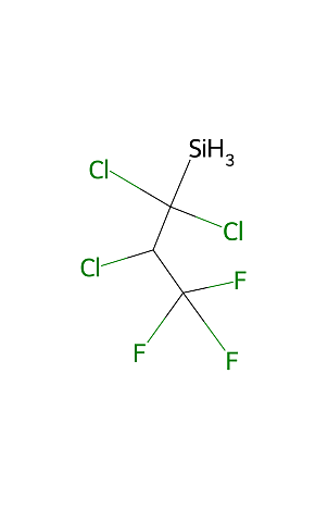 FC(F)(F)C(Cl)C([SiH3])(Cl)Cl